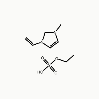 C=CN1C=CN(C)C1.CCOS(=O)(=O)O